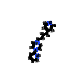 c1ccc(N2CCN(CCCCc3ccncc3)CC2)nc1